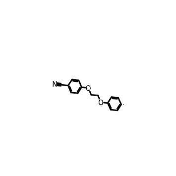 N#Cc1ccc(OCCOc2cc[c]cc2)cc1